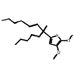 CCCCCCC(C)(CCCCC)c1cc(OC)c(OC)s1